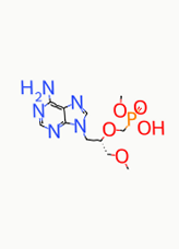 COC[C@H](Cn1cnc2c(N)ncnc21)OCP(=O)(O)OC